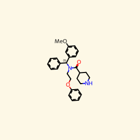 COc1cccc([C@H](c2ccccc2)N(CCOc2ccccc2)C(=O)C2CCNCC2)c1